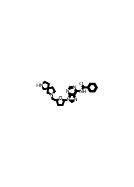 O=C(Nc1ncnc2c1ncn2C1CCC(CN2CCC3(CCNC3)C2)O1)c1ccccc1